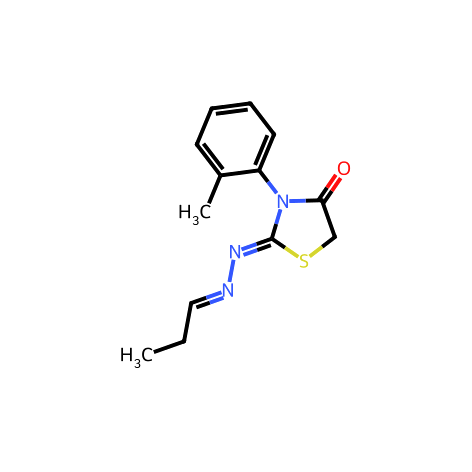 CC/C=N/N=C1\SCC(=O)N1c1ccccc1C